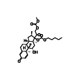 CCCCCOC(=O)O[C@]1(C(=O)COC(=O)OC)[C@H](C)C[C@H]2[C@@H]3CCC4=CC(=O)C=C[C@]4(C)[C@@]3(F)[C@@H](O)C[C@@]21C